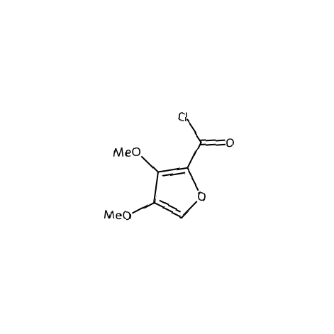 COc1coc(C(=O)Cl)c1OC